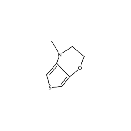 CN1CCOc2cscc21